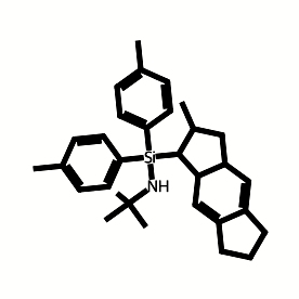 Cc1ccc([Si](NC(C)(C)C)(c2ccc(C)cc2)C2C(C)CC3C=C4CCCC4=CC32)cc1